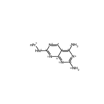 CCCNc1ncc2c(N)nc(N)nc2n1